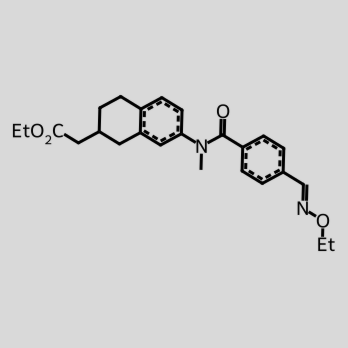 CCON=Cc1ccc(C(=O)N(C)c2ccc3c(c2)CC(CC(=O)OCC)CC3)cc1